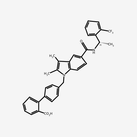 Cc1c(C)n(Cc2ccc(-c3ccccc3C(=O)O)cc2)c2ccc(C(=O)N[C@@H](C)c3ccccc3C(F)(F)F)cc12